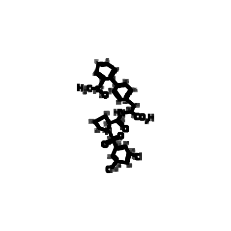 C[S+]([O-])c1ccccc1-c1ccc(C[C@H](NC(=O)[C@@H]2CCCN2S(=O)(=O)c2cc(Cl)cc(Cl)c2)C(=O)O)cc1